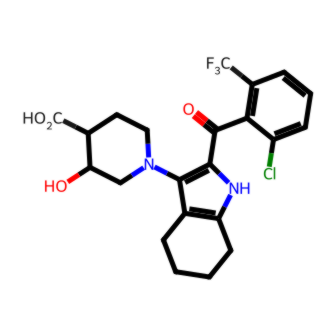 O=C(c1[nH]c2c(c1N1CCC(C(=O)O)C(O)C1)CCCC2)c1c(Cl)cccc1C(F)(F)F